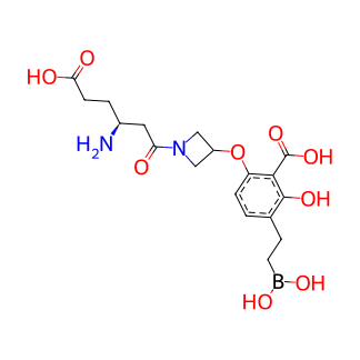 N[C@@H](CCC(=O)O)CC(=O)N1CC(Oc2ccc(CCB(O)O)c(O)c2C(=O)O)C1